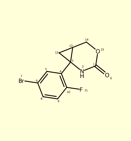 O=C1NC2(c3cc(Br)ccc3F)CC2CO1